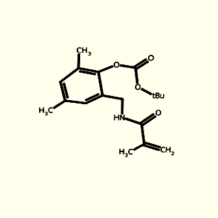 C=C(C)C(=O)NCc1cc(C)cc(C)c1OC(=O)OC(C)(C)C